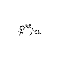 O=COC(Cc1cc(-c2cccc(C(F)(F)F)c2)[nH]n1)c1ccc(F)cc1